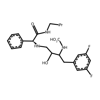 CC(C)CNC(=O)[C@@H](NCC(O)C(Cc1cc(F)cc(F)c1)NC(=O)O)c1ccccc1